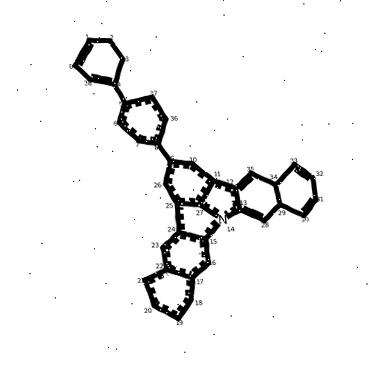 C1=CCCC(c2ccc(-c3cc4c5c(n6c7cc8ccccc8cc7c(c3)c46)=CC3C=CC=CC3C=5)cc2)=C1